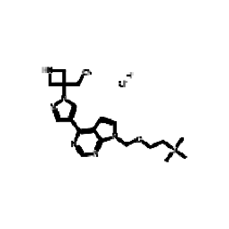 C[Si](C)(C)CCOCn1ccc2c(-c3cnn(C4(CC#N)CNC4)c3)ncnc21.[Cl-].[H+]